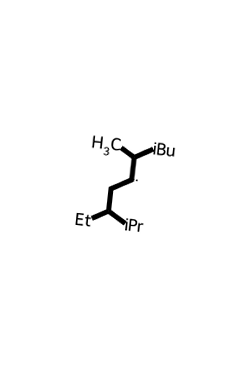 CCC(C)C(C)[CH]CC(CC)C(C)C